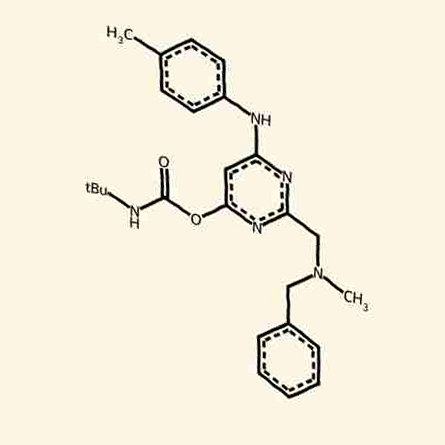 Cc1ccc(Nc2cc(OC(=O)NC(C)(C)C)nc(CN(C)Cc3ccccc3)n2)cc1